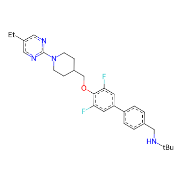 CCc1cnc(N2CCC(COc3c(F)cc(-c4ccc(CNC(C)(C)C)cc4)cc3F)CC2)nc1